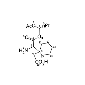 CCCC(OC(C)=O)OC(=O)C(N)C1(CC(=O)O)CCCCC1